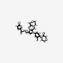 Cc1cc(-n2cc(CNC(=O)c3ccc(Cl)s3)nc2CN2CCOCC2=O)ccc1N1CCOCC1=O